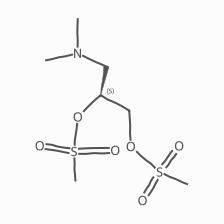 CN(C)C[C@@H](COS(C)(=O)=O)OS(C)(=O)=O